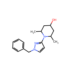 CC1CC(O)CC(C)N1c1ccn(Cc2ccccc2)n1